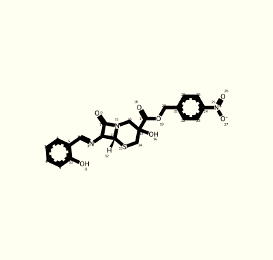 O=C1C(N=Cc2ccccc2O)[C@H]2SCC(O)(C(=O)OCc3ccc([N+](=O)[O-])cc3)CN12